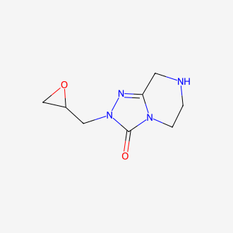 O=c1n(CC2CO2)nc2n1CCNC2